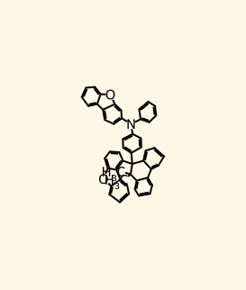 CC1(C)c2ccccc2-c2ccccc2C1(c1ccc(N(c2ccccc2)c2ccc3c(c2)oc2ccccc23)cc1)c1cccc2oc3ccccc3c12